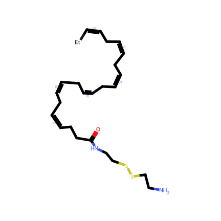 CC/C=C\C/C=C\C/C=C\C/C=C\C/C=C\C/C=C\CCC(=O)NCCSSCCN